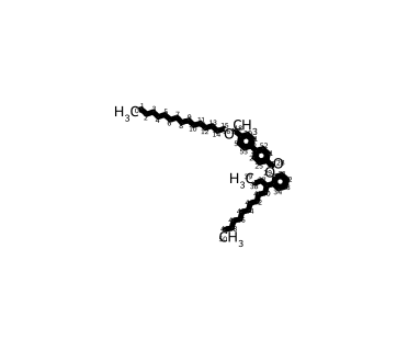 CCCCCCCCCCCCCCCCOC(C)c1ccc(-c2ccc(C(=O)Oc3ccccc3C(CCC)CCCCCCCCCCC)cc2)cc1